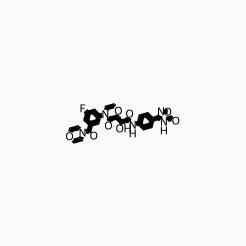 O=C(Nc1ccc(-c2noc(=O)[nH]2)cc1)[C@H](O)[C@H]1OCCN(c2cc(F)cc(C(=O)N3CCOCC3)c2)C1=O